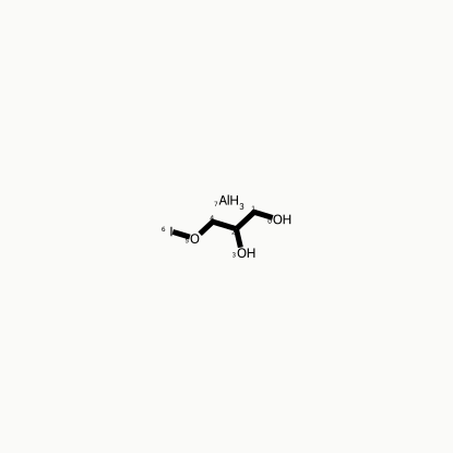 OCC(O)COI.[AlH3]